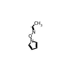 C[C]=NOn1cccc1